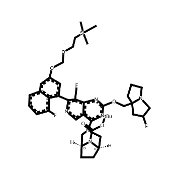 CC(C)(C)OC(=O)N1[C@@H]2CC[C@H]1CN(c1nc(OCC34CCCN3CC(F)C4)nc3c(F)c(-c4cc(OCOCC[Si](C)(C)C)cc5cccc(F)c45)ncc13)C2